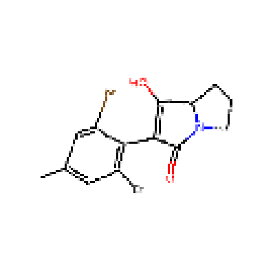 CCc1cc(C)cc(Br)c1C1=C(O)C2CCCN2C1=O